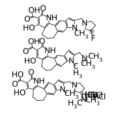 CN(C)C1CCN(Cc2cc3cc4c(cc3n2C)CCCc2c-4[nH]c(=O)c(C(=O)O)c2O)C1.CN(C)Cc1cc2cc3c(cc2n1C)CCCc1c-3[nH]c(=O)c(C(=O)O)c1O.Cl.Cl.Cl.Cl.Cn1c(CN2CC[C@@H](F)C2)cc2cc3c(cc21)CCCc1c-3[nH]c(=O)c(C(=O)O)c1O